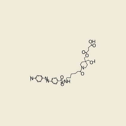 CN(C)c1ccc(/N=N/c2ccc(S(=O)(=O)NCCCCCC(=O)N3CCC(COI)(COC(=O)CCC(=O)O)CC3)cc2)cc1